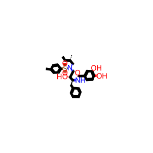 CC[C@H](C)CN(C[C@@H](O)[C@H](Cc1ccccc1)NC(=O)c1ccc(O)c(O)c1)S(=O)(=O)c1ccc(C)cc1